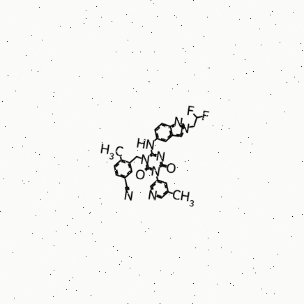 Cc1cncc(-n2c(=O)nc(Nc3ccc4nn(CC(F)F)cc4c3)n(Cc3cc(C#N)ccc3C)c2=O)c1